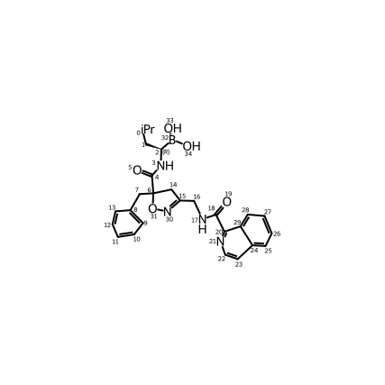 CC(C)C[C@H](NC(=O)C1(Cc2ccccc2)CC(CNC(=O)c2nccc3ccccc23)=NO1)B(O)O